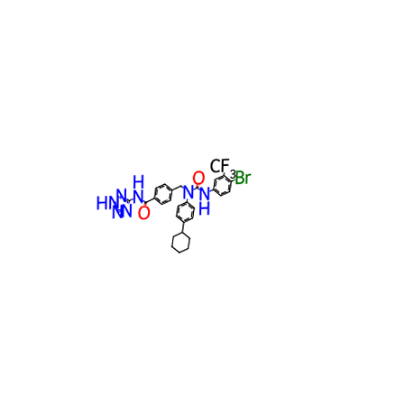 O=C(Nc1nn[nH]n1)c1ccc(CN(C(=O)Nc2ccc(Br)c(C(F)(F)F)c2)c2ccc(C3CCCCC3)cc2)cc1